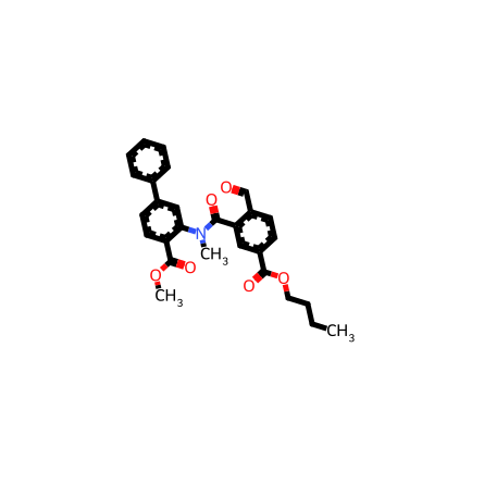 CCCCOC(=O)c1ccc(C=O)c(C(=O)N(C)c2cc(-c3ccccc3)ccc2C(=O)OC)c1